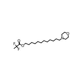 CC(F)(F)C(=O)OCCCCCCCCCCCCN1CCOCC1